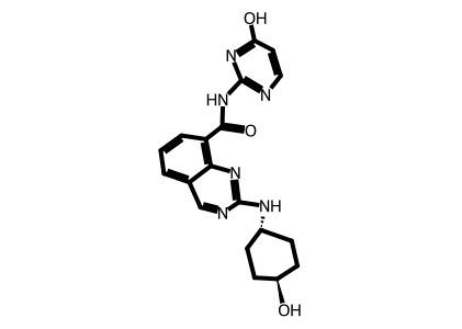 O=C(Nc1nccc(O)n1)c1cccc2cnc(N[C@H]3CC[C@H](O)CC3)nc12